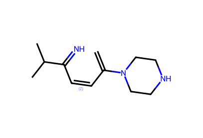 C=C(/C=C\C(=N)C(C)C)N1CCNCC1